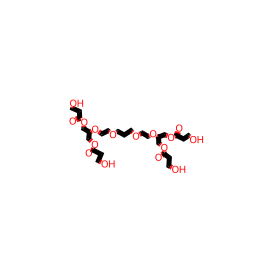 O=C(CCO)OCC(COC(=O)CCO)OCCOCCCOCCOC(COC(=O)CCO)COC(=O)CCO